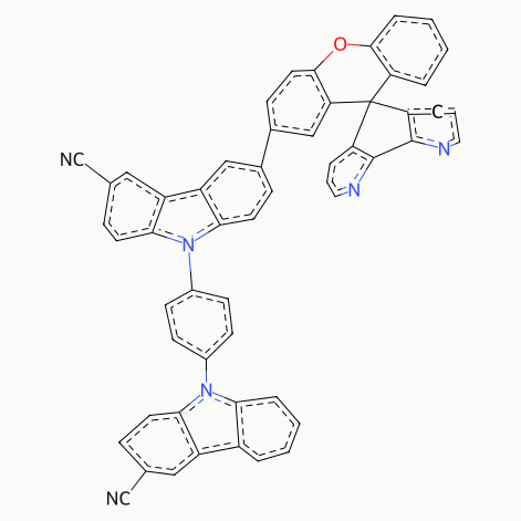 N#Cc1ccc2c(c1)c1ccccc1n2-c1ccc(-n2c3ccc(C#N)cc3c3cc(-c4ccc5c(c4)C4(c6ccccc6O5)c5cccnc5-c5ncccc54)ccc32)cc1